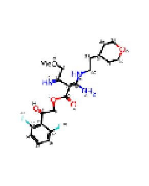 COCC(=N)/C(C(=O)OCC(=O)c1c(F)cccc1F)=C(/N)NCCC1CCOCC1